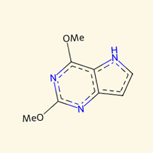 COc1nc(OC)c2[nH]ccc2n1